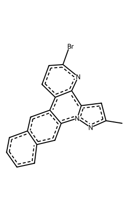 Cc1cc2c3nc(Br)ccc3c3cc4ccccc4cc3n2n1